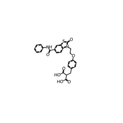 O=C(Nc1ccccc1)c1ccc2c(c1)sc(=O)n2CCOc1ccc(CC(C(=O)O)C(=O)O)cc1